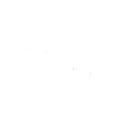 C=C.CCOC(=O)CC(=O)CCl.CCOC(C)OCC